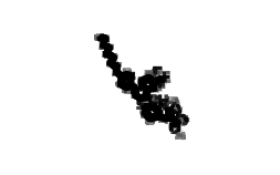 CCCCCCCCCc1ccc(C=C[C@H](Sc2ccc3cc(C(=O)OC)c(OC)nc3c2)[C@@H](O)c2cccc(C(F)(F)F)c2)cc1